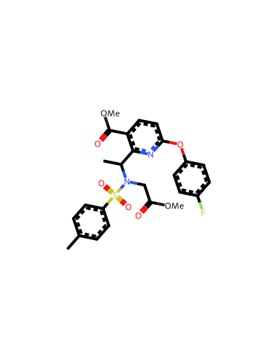 COC(=O)CN(C(C)c1nc(Oc2ccc(F)cc2)ccc1C(=O)OC)S(=O)(=O)c1ccc(C)cc1